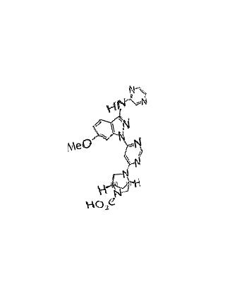 COc1ccc2c(Nc3cnccn3)nn(-c3cc(N4C[C@@H]5C[C@H]4CN5C(=O)O)ncn3)c2c1